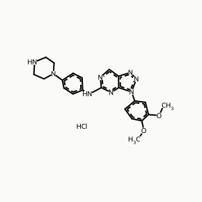 COc1ccc(-n2nnc3cnc(Nc4ccc(N5CCNCC5)cc4)nc32)cc1OC.Cl